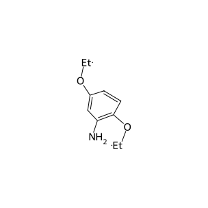 [CH2][CH]Oc1ccc(O[CH][CH2])c(N)c1